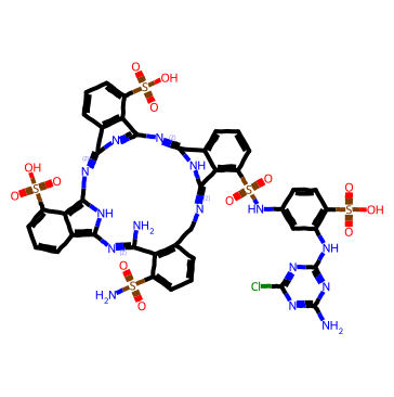 N/C1=N\c2[nH]c(c3c(S(=O)(=O)O)cccc23)/N=C2N=C(/N=c3\[nH]/c(c4c(S(=O)(=O)Nc5ccc(S(=O)(=O)O)c(Nc6nc(N)nc(Cl)n6)c5)cccc34)=N\Cc3cccc(S(N)(=O)=O)c31)c1c\2cccc1S(=O)(=O)O